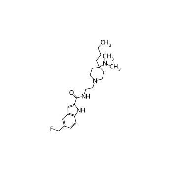 CCCCC1(N(C)C)CCN(CCNC(=O)c2cc3cc(CF)ccc3[nH]2)CC1